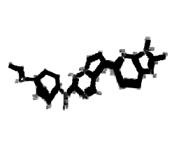 CCO[C@H]1CC[C@H](Nc2ncc3c(-c4ccc5nc(C)n(C)c5n4)ccn3n2)CC1